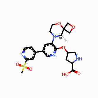 C[C@@H]1N(c2cc(-c3ccnc(S(C)(=O)=O)c3)cnc2OC2CNC(C(=O)O)C2)CCOC12COC2